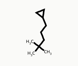 CC(C)(C)CCCC1CC1